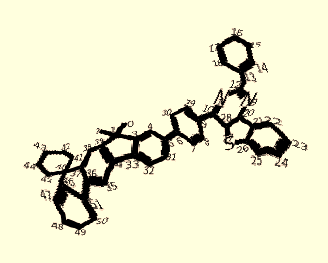 CC1(C)c2cc(-c3ccc(C4=NC(C5=CCCC=C5)=NC5c6ccccc6SC45)cc3)ccc2-c2cc3c(cc21)C1(CCCCC1)c1ccccc1-3